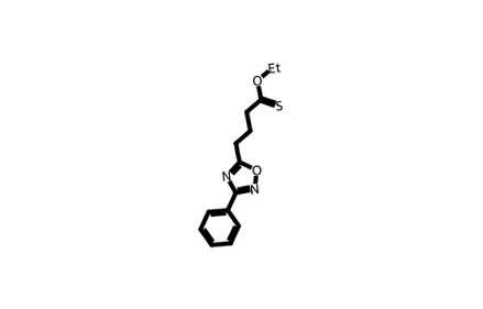 CCOC(=S)CCCc1nc(-c2ccccc2)no1